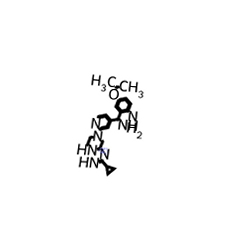 CC(C)Oc1ccc(N)c(C(=N)c2ccnc(N3CCN/C(=N\C(=N)C4CC4)C3)c2)c1